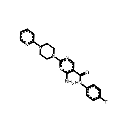 Nc1nc(N2CCN(c3ccccn3)CC2)ncc1C(=O)Nc1ccc(F)cc1